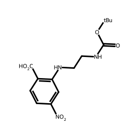 CC(C)(C)OC(=O)NCCNc1cc([N+](=O)[O-])ccc1C(=O)O